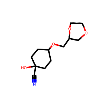 N#CC1(O)CCC(OCC2COCCO2)CC1